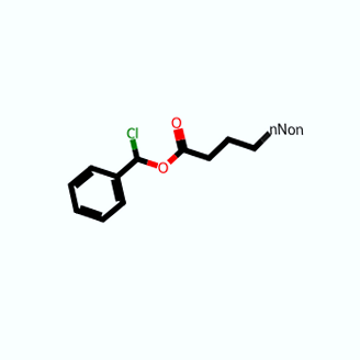 CCCCCCCCCCCCC(=O)OC(Cl)c1ccccc1